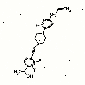 C=CCOc1ccc(C2CCC(C#Cc3ccc(C(C)O)c(F)c3F)CC2)c(F)c1